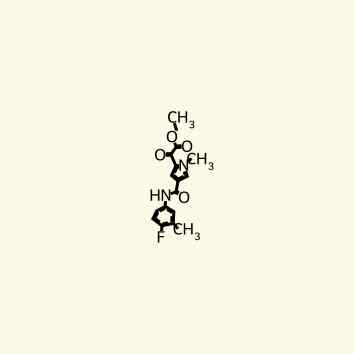 CCOC(=O)C(=O)c1cc(C(=O)Nc2ccc(F)c(C)c2)cn1C